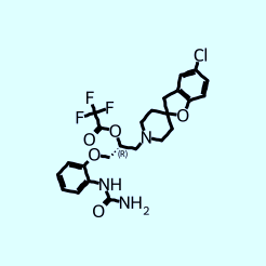 NC(=O)Nc1ccccc1OC[C@@H](CN1CCC2(CC1)Cc1cc(Cl)ccc1O2)OC(=O)C(F)(F)F